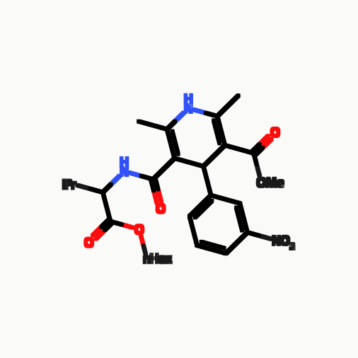 CCCCCCOC(=O)C(NC(=O)C1=C(C)NC(C)=C(C(=O)OC)C1c1cccc([N+](=O)[O-])c1)C(C)C